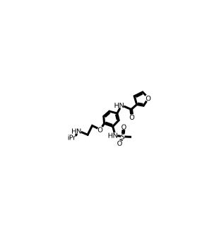 CC(C)NCCOc1ccc(NC(=O)c2ccoc2)cc1NS(C)(=O)=O